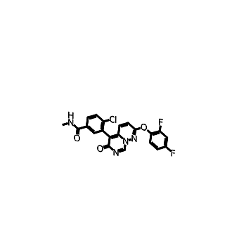 CNC(=O)c1ccc(Cl)c(-c2c(=O)ncn3nc(Oc4ccc(F)cc4F)ccc23)c1